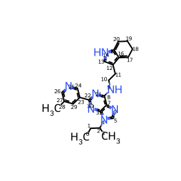 CCC(C)n1cnc2c(NCCc3c[nH]c4c3=CCCC=4)nc(-c3cncc(C)c3)nc21